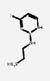 O=S(=O)(O)CCNN1N=C(F)C=[C]N1